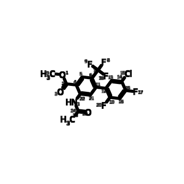 COC(=O)c1cc(C(F)(F)F)c(-c2cc(Cl)c(F)cc2F)cc1NC(C)=O